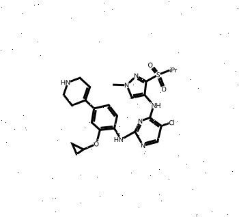 CC(C)S(=O)(=O)c1nn(C)cc1Nc1nc(Nc2ccc(C3=CCNCC3)cc2OC2CC2)ncc1Cl